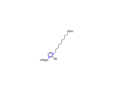 CCCCCCCCCCCCCCCCCCC[n+]1ccn(CCCCCCC)c1C(C)C